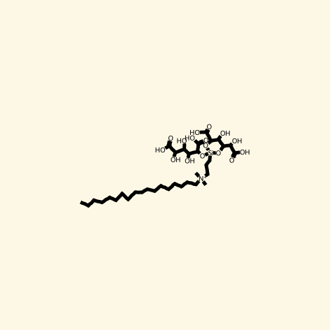 CCCCCCCCCCCCCCCCCC[N+](C)(C)CCC[Si]1(OC(C(=O)O)C(O)C(O)C(O)C(=O)O)OC(C(=O)O)C(O)C(C(O)C(=O)O)O1